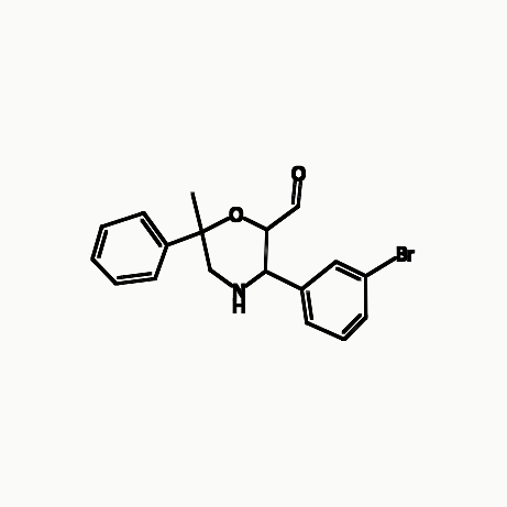 CC1(c2ccccc2)CNC(c2cccc(Br)c2)C(C=O)O1